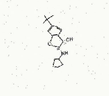 CC(C)(C)c1ccc2c(c1)OC[C@@H](NC1CCCC1)[C@H]2O